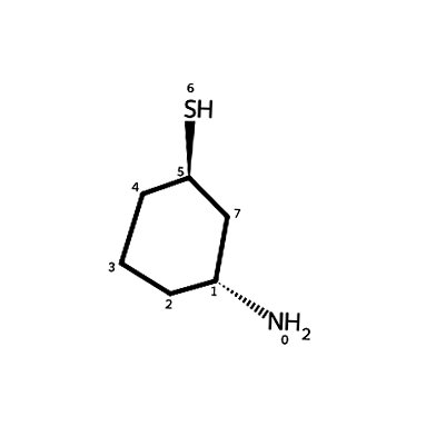 N[C@@H]1CCC[C@@H](S)C1